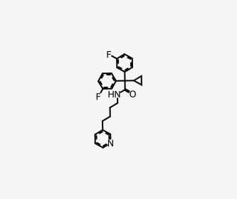 O=C(NCCCCc1cccnc1)C(c1cccc(F)c1)(c1cccc(F)c1)C1CC1